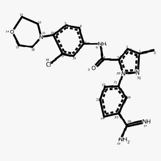 Cc1cc(C(=O)Nc2ccc(N3CCOCC3)c(Cl)c2)n(-c2cccc(C(=N)N)c2)n1